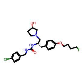 O=C(NCc1ccc(Cl)cc1)N[C@@H](Cc1ccc(OCCCCF)cc1)CN1CC[C@@H](O)C1